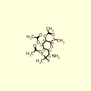 CS[C@H]1O[C@H]([C@H](N)C(C)(F)F)[C@H](OC(C)=O)[C@H](OC(C)=O)[C@H]1OC(C)=O